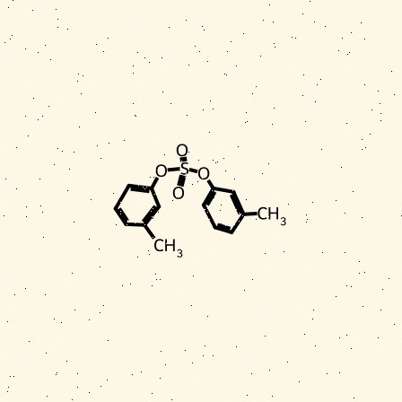 Cc1cccc(OS(=O)(=O)Oc2cccc(C)c2)c1